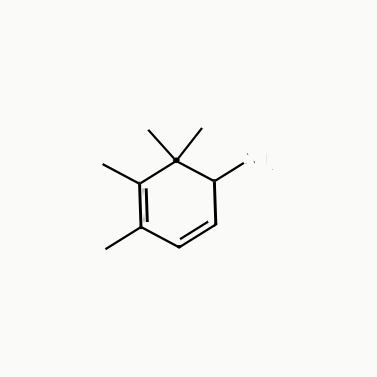 CC1=C(C)C(C)(C)C(N)C=C1